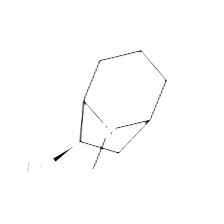 CN1C2CCCC1[C@H](O)C2